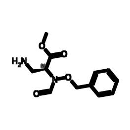 COC(=O)[C@H](CN)N(C=O)OCc1ccccc1